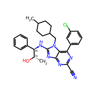 CC1CCC(Cn2c(N[C@H](c3ccccc3)[C@H](C)O)nc3nc(C#N)nc(-c4cccc(Cl)c4)c32)CC1